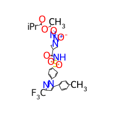 Cc1ccc(-c2cc(C(F)(F)F)nn2-c2ccc(S(=O)(=O)NC(=O)C3CN(/[N+]([O-])=N/OC(C)OC(=O)C(C)C)C3)cc2)cc1